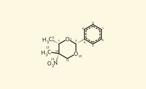 C[C@@H]1O[C@H](c2ccccc2)OC[C@]1(C)[N+](=O)[O-]